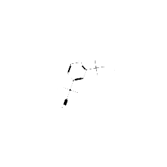 CC(C)(C)c1cc(C(C)(C)C#N)ccn1